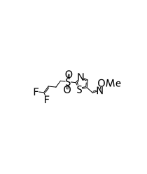 CO/N=C\c1cnc(S(=O)(=O)CCC=C(F)F)s1